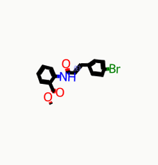 COC(=O)c1ccccc1NC(=O)/C=C/c1ccc(Br)cc1